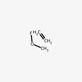 C=C.COF